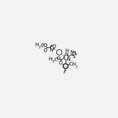 COC(=O)C1=C([C@H]2CC[C@@H](c3nc(C(=O)OC)co3)CC2)NC(c2nccs2)=NC1c1ccc(F)cc1C